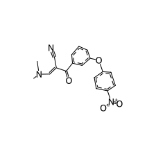 CN(C)C=C(C#N)C(=O)c1cccc(Oc2ccc([N+](=O)[O-])cc2)c1